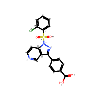 O=C(O)c1ccc(-c2nn(S(=O)(=O)c3ccccc3Cl)c3ccncc23)cc1